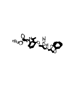 Cc1nn(C(=O)OC(C)(C)C)c2cccc(OCC(O)CNCC3COc4ccccc4O3)c12